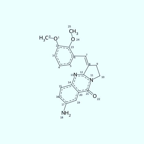 COc1cccc(/C=C2/CCn3c2nc2ccc(N)cc2c3=O)c1OC